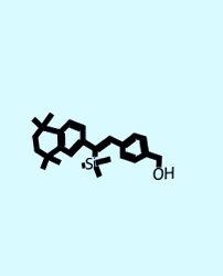 CC1(C)CCC(C)(C)c2cc(/C(=C/c3ccc(CO)cc3)[Si](C)(C)C)ccc21